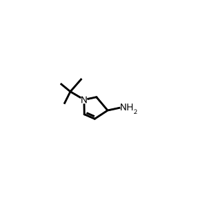 CC(C)(C)N1C=CC(N)C1